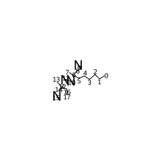 CCCCCCC(C)(C#N)N=NC(C)(C#N)CC